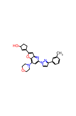 Cc1cccc(-c2ccn(-c3cc(N4CCOCC4)c4oc(C5=CC(O)CC5)cc4n3)n2)c1